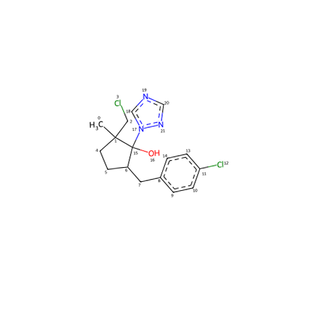 CC1(CCl)CCC(Cc2ccc(Cl)cc2)C1(O)n1cncn1